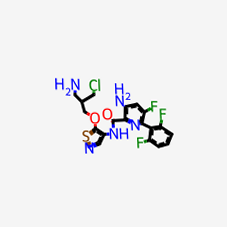 NCC(CCl)COc1sncc1NC(=O)c1nc(-c2c(F)cccc2F)c(F)cc1N